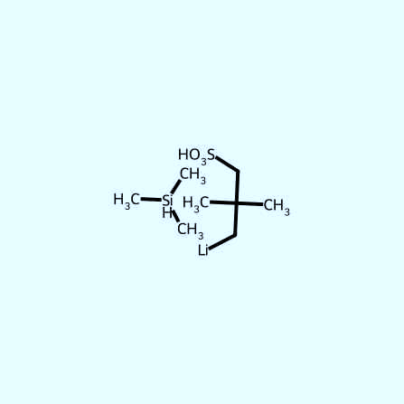 C[SiH](C)C.[Li][CH2]C(C)(C)CS(=O)(=O)O